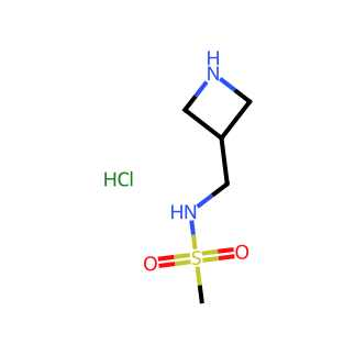 CS(=O)(=O)NCC1CNC1.Cl